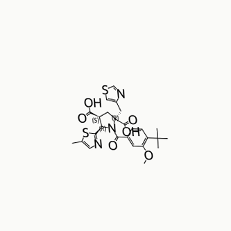 COc1cc(C(=O)N2[C@@H](c3ncc(C)s3)[C@@H](C(=O)O)C[C@@]2(Cc2cscn2)C(=O)O)ccc1C(C)(C)C